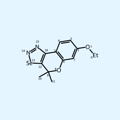 CCOc1ccc2c(c1)OC(C)(C)c1[se]nnc1-2